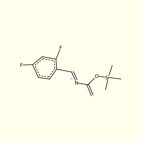 C=C(/N=C/c1ccc(F)cc1F)O[Si](C)(C)C